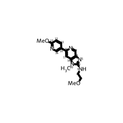 COCCNc1nc2cnc(-c3ccc(OC)nc3)cc2n1C